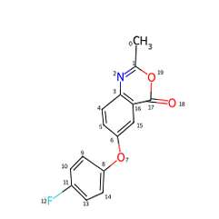 Cc1nc2ccc(Oc3ccc(F)cc3)cc2c(=O)o1